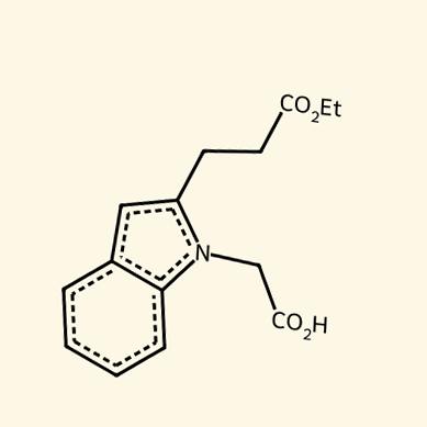 CCOC(=O)CCc1cc2ccccc2n1CC(=O)O